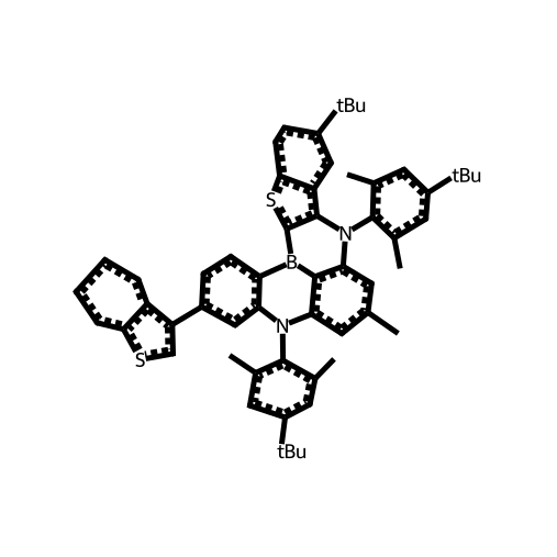 Cc1cc2c3c(c1)N(c1c(C)cc(C(C)(C)C)cc1C)c1c(sc4ccc(C(C)(C)C)cc14)B3c1ccc(-c3csc4ccccc34)cc1N2c1c(C)cc(C(C)(C)C)cc1C